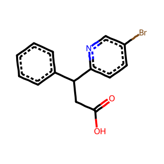 O=C(O)CC(c1ccccc1)c1ccc(Br)cn1